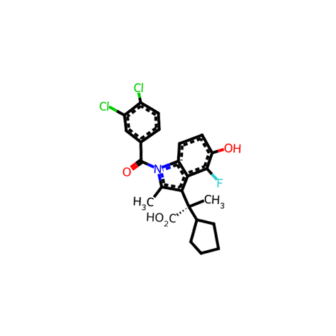 Cc1c([C@](C)(C(=O)O)C2CCCC2)c2c(F)c(O)ccc2n1C(=O)c1ccc(Cl)c(Cl)c1